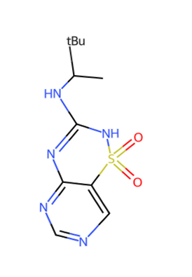 CC(NC1=Nc2ncncc2S(=O)(=O)N1)C(C)(C)C